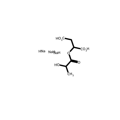 CC(O)C(=O)OC(CC(=O)O)C(=O)O.[NaH].[NaH].[NaH]